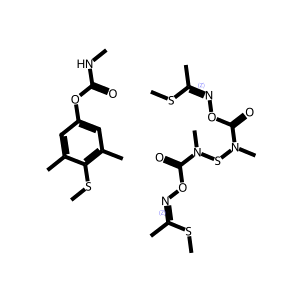 CNC(=O)Oc1cc(C)c(SC)c(C)c1.CS/C(C)=N\OC(=O)N(C)SN(C)C(=O)O/N=C(/C)SC